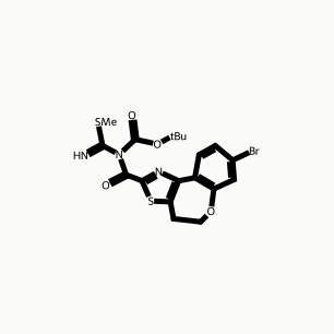 CSC(=N)N(C(=O)OC(C)(C)C)C(=O)c1nc2c(s1)CCOc1cc(Br)ccc1-2